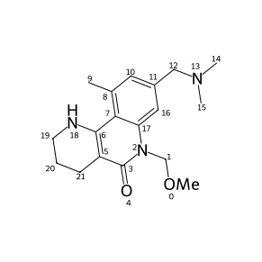 COCn1c(=O)c2c(c3c(C)cc(CN(C)C)cc31)NCCC2